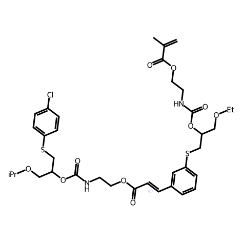 C=C(C)C(=O)OCCNC(=O)OC(COCC)CSc1cccc(/C=C/C(=O)OCCNC(=O)OC(COC(C)C)CSc2ccc(Cl)cc2)c1